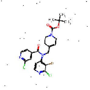 CC(C)(C)OC(=O)N1CC=C(CN(C(=O)c2ccnc(Cl)c2)c2ccnc(Cl)c2Br)CC1